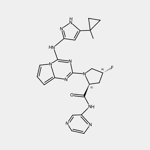 CC1(c2cc(Nc3nc(N4C[C@H](F)C[C@H]4C(=O)Nc4cnccn4)nc4cccn34)n[nH]2)CC1